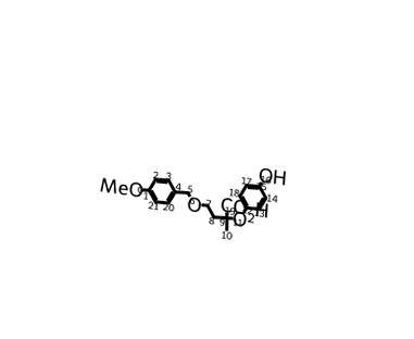 COc1ccc(COCCC(C)(Oc2ccc(O)cc2)C(=O)O)cc1